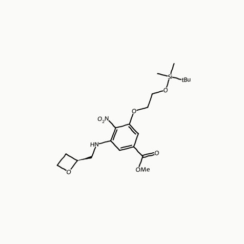 COC(=O)c1cc(NC[C@@H]2CCO2)c([N+](=O)[O-])c(OCCO[Si](C)(C)C(C)(C)C)c1